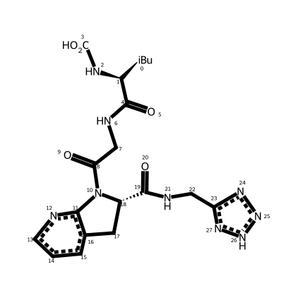 CC[C@H](C)[C@H](NC(=O)O)C(=O)NCC(=O)N1c2ncccc2C[C@H]1C(=O)NCc1nn[nH]n1